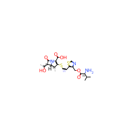 CC(C)[C@H](N)C(=O)OCc1ncsc1/C=C\SC1=C(C(=O)O)N2C(=O)[C@H]([C@@H](C)O)[C@H]2[C@H]1C